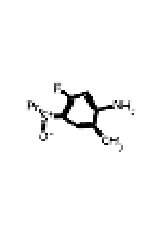 Cc1cc([S+]([O-])C(C)C)c(F)cc1N